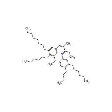 CCCCCCCCc1cc(C=C(C)C(CC)=Nc2ccc(CCCC)c(CCCCCC)c2)cc(CC)c1CCCCCC